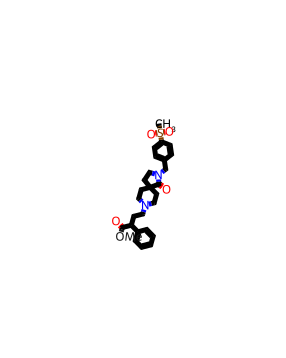 COC(=O)C(CCN1CCC2(CC1)CCN(Cc1ccc(S(C)(=O)=O)cc1)C2=O)c1ccccc1